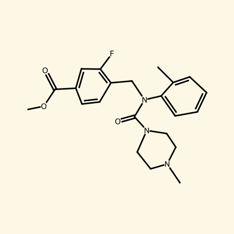 COC(=O)c1ccc(CN(C(=O)N2CCN(C)CC2)c2ccccc2C)c(F)c1